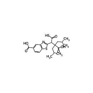 CC(C)CC(CC(C)C)(C(=O)O)C(C(=O)S)c1nc2cc(C(=O)O)ccc2s1